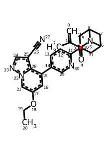 C=C(C)C(=O)N1C2CC1CN(c1ccc(-c3cc(OCC)cn4ncc(C#N)c34)cn1)C2